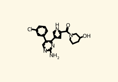 Nc1ncc(-c2cccc(Cl)c2)c(-c2c[nH]c(C(=O)N3CCCC(O)C3)c2)n1